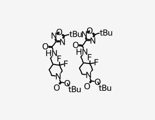 CC(C)(C)OC(=O)N1CCC(CNC(=O)c2noc(C(C)(C)C)n2)C(F)(F)C1.CC(C)(C)OC(=O)N1CCC(CNC(=O)c2noc(C(C)(C)C)n2)C(F)(F)C1